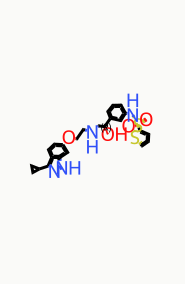 O=S(=O)(Nc1cccc([C@@H](O)CNCCOc2ccc3c(C4CC4)n[nH]c3c2)c1)c1cccs1